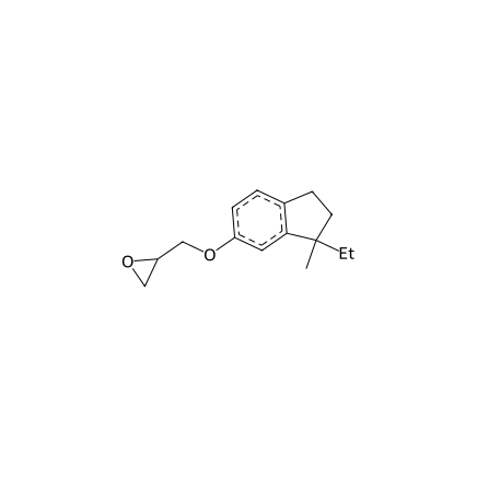 CCC1(C)CCc2ccc(OCC3CO3)cc21